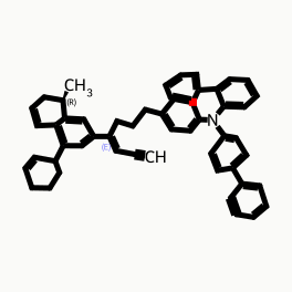 C#C/C=C(\CCCC1=CC=C(N(c2ccc(-c3c#cccc3)cc2)c2ccccc2-c2ccccc2)CC1)c1cc(C2C=CCCC2)c2c(c1)[C@H](C)CC=C2